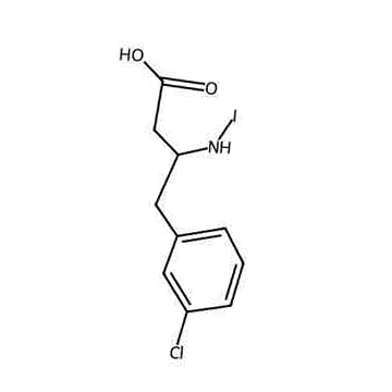 O=C(O)CC(Cc1cccc(Cl)c1)NI